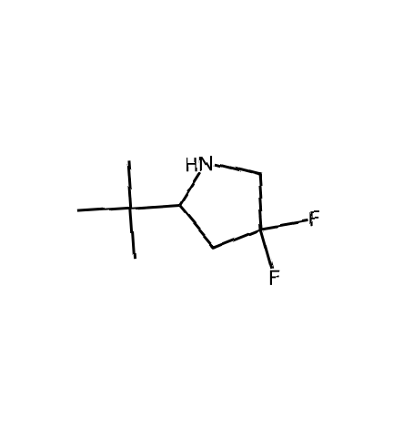 CC(C)(C)C1CC(F)(F)CN1